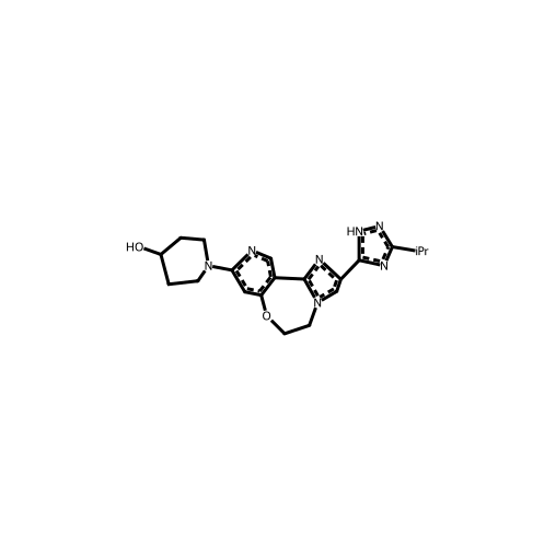 CC(C)c1n[nH]c(-c2cn3c(n2)-c2cnc(N4CCC(O)CC4)cc2OCC3)n1